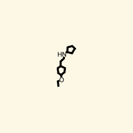 CCOC1CCC(CCNC2CCCC2)CC1